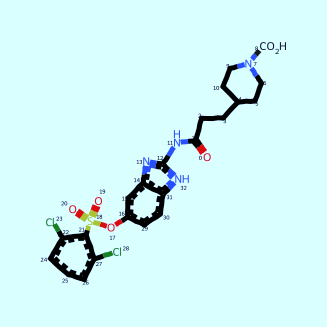 O=C(CCC1CCN(C(=O)O)CC1)Nc1nc2cc(OS(=O)(=O)c3c(Cl)cccc3Cl)ccc2[nH]1